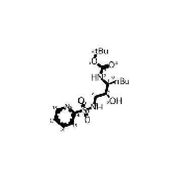 CCCC[C@H](NC(=O)OC(C)(C)C)[C@@H](O)CNS(=O)(=O)c1ccccn1